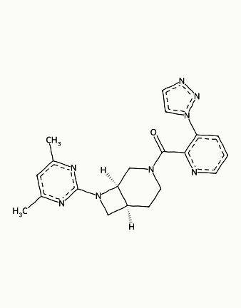 Cc1cc(C)nc(N2C[C@@H]3CCN(C(=O)c4ncccc4-n4ccnn4)C[C@@H]32)n1